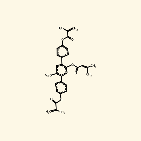 C=C(C)C(=O)Oc1ccc(-c2cc(OC(=O)C=C(C)C)c(-c3ccc(OC(=O)C(=C)C)cc3)cc2OC)cc1